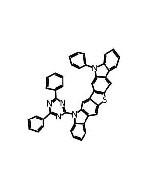 c1ccc(-c2nc(-c3ccccc3)nc(-n3c4ccccc4c4cc5sc6cc7c8ccccc8n(-c8ccccc8)c7cc6c5cc43)n2)cc1